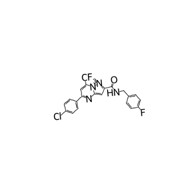 O=C(NCc1ccc(F)cc1)c1cc2nc(-c3ccc(Cl)cc3)cc(C(F)(F)F)n2n1